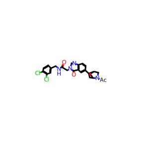 CC(=O)N1CC2CC1CC2c1ccc2ncn(CC(=O)NCc3ccc(Cl)c(Cl)c3)c(=O)c2c1